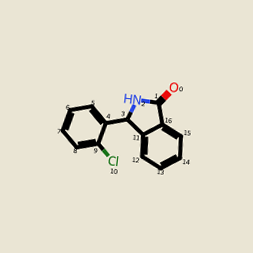 O=C1NC(c2ccccc2Cl)c2ccccc21